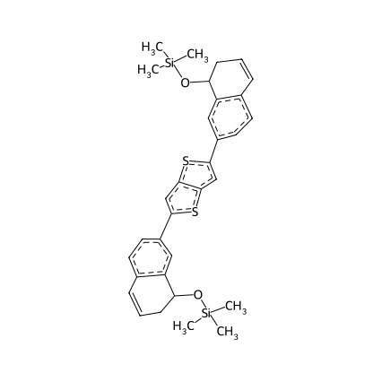 C[Si](C)(C)OC1CC=Cc2ccc(-c3cc4sc(-c5ccc6c(c5)C(O[Si](C)(C)C)CC=C6)cc4s3)cc21